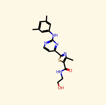 Cc1cc(C)cc(Nc2nccc(-c3nc(C)c(C(=O)NCCO)s3)n2)c1